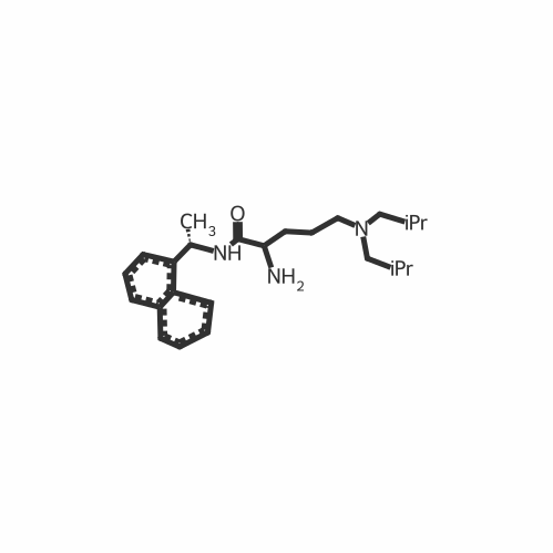 CC(C)CN(CCCC(N)C(=O)N[C@@H](C)c1cccc2ccccc12)CC(C)C